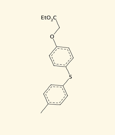 CCOC(=O)COc1ccc(Sc2ccc(C)cc2)cc1